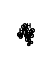 C=CC(=O)OCC(C)(C)C(=O)C(=O)N1CCN(C(=O)OCC2c3ccccc3-c3ccccc32)C[C@H]1C(=O)O[C@H](CCc1ccc(OC)c(OC)c1)c1cccc(NC(=O)CCC(=O)O)c1